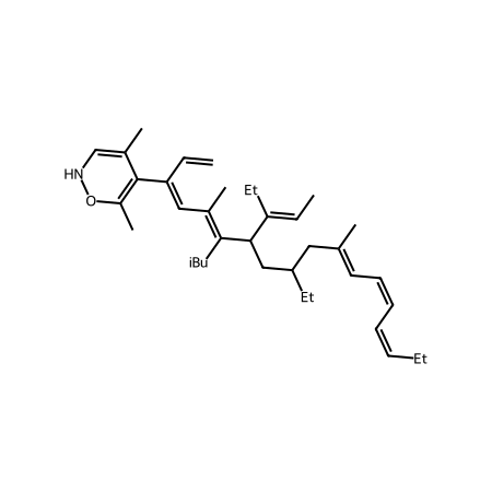 C=C/C(=C\C(C)=C(/C(C)CC)C(CC(CC)C/C(C)=C/C=C\C=C/CC)/C(=C/C)CC)C1=C(C)ONC=C1C